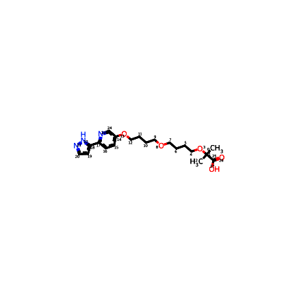 CC(C)(OCCCCOCCCCOc1ccc(-c2ccn[nH]2)nc1)C(=O)O